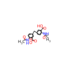 CC(=O)Nc1ccc(Cc2ccc(NC(C)=O)c(C(=O)O)c2)cc1C(=O)O